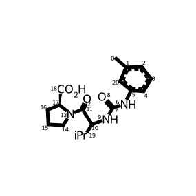 Cc1cccc(NC(=O)NC(C(=O)N2CCC[C@H]2C(=O)O)C(C)C)c1